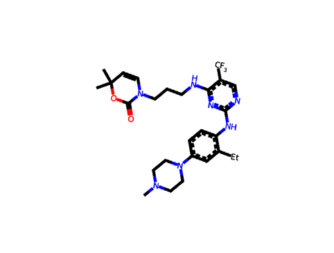 CCc1cc(N2CCN(C)CC2)ccc1Nc1ncc(C(F)(F)F)c(NCCCN2C=CC(C)(C)OC2=O)n1